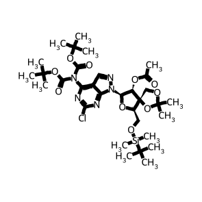 CC(=O)O[C@H]1[C@H](n2ncc3c(N(C(=O)OC(C)(C)C)C(=O)OC(C)(C)C)nc(Cl)nc32)O[C@H](CO[Si](C)(C)C(C)(C)C)[C@]12COC(C)(C)O2